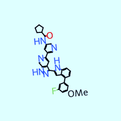 COc1cc(F)cc(-c2cccc3[nH]c(-c4n[nH]c5cnc(-c6cncc(NC(=O)C7CCCC7)c6)cc45)cc23)c1